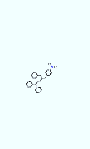 CCN(CC)c1ccc(CC(=CC=C(c2ccccc2)c2ccccc2)Cc2ccccc2)cc1